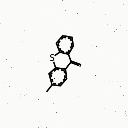 C=C1c2ccccc2Sc2cc(C)ccc21